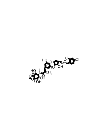 CC(=Cc1ccc(O[C@@H]2C[C@H](C=NOCc3ccc(Cl)cc3Cl)[C@@H](O)[C@@H]2O)c(O)c1)C(=O)N[C@@H]1[C@H](O)[C@@H](O)[C@H]2OCO[C@H]2[C@@H]1O